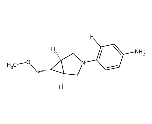 COC[C@@H]1[C@H]2CN(c3ccc(N)cc3F)C[C@@H]12